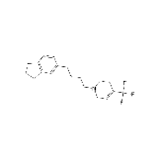 FC(F)(F)C1=CCN(CCCCc2ccc3c(c2)CCC3)CC1